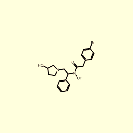 O=C(Cc1ccc(Br)cc1)N(O)C(CN1CCC(O)C1)c1ccccc1